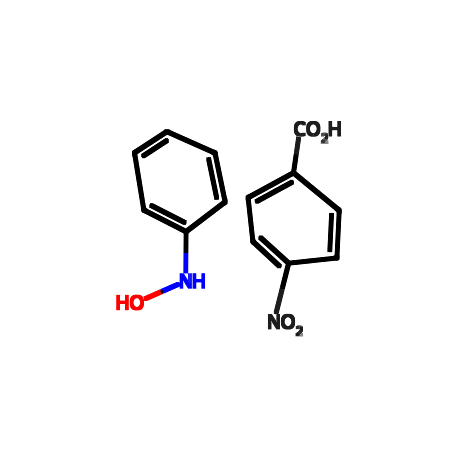 O=C(O)c1ccc([N+](=O)[O-])cc1.ONc1ccccc1